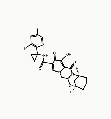 O=C(NC1(c2ccc(F)cc2F)CC1)c1cn2c(c(O)c1=O)C(=O)N1C(C2)O[C@@H]2CCC[C@H]1C2